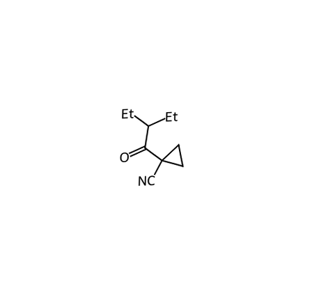 CCC(CC)C(=O)C1(C#N)CC1